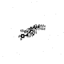 CCCSc1nc(N(C(=O)OC(C)(C)C)[C@@H]2C[C@H]2c2ccc(F)c(F)c2)c2nnn([C@H]3CO[C@@H](C(OC)OC)[C@@H]3O)c2n1